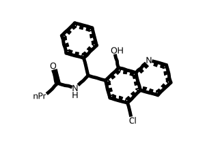 CCCC(=O)NC(c1ccccc1)c1cc(Cl)c2cccnc2c1O